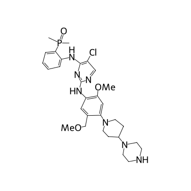 COCc1cc(Nc2ncc(Cl)c(Nc3ccccc3P(C)(C)=O)n2)c(OC)cc1N1CCC(N2CCNCC2)CC1